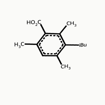 CCC(C)c1c(C)cc(C)c(C(=O)O)c1C